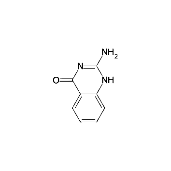 Nc1nc(=O)c2ccccc2[nH]1